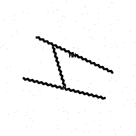 CCCCCCCCCCCCCCCCCCN(CCCCCCCCCCCCCCCCCC)CCCCCCCCCCCCCCCCCC.CCCCCCCCCCCCCCCCCCNCCCCCCCCCCCCCCCCCC